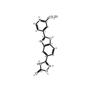 CCOC(=O)c1cc(-c2nc3cc(-c4noc(=O)[nH]4)ccc3o2)ccn1